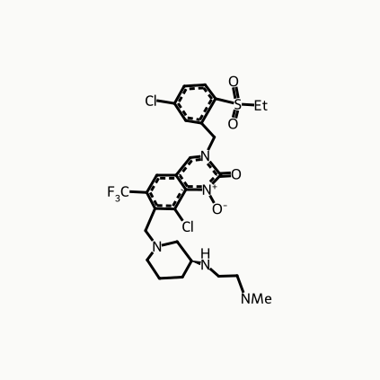 CCS(=O)(=O)c1ccc(Cl)cc1Cn1cc2cc(C(F)(F)F)c(CN3CCC[C@H](NCCNC)C3)c(Cl)c2[n+]([O-])c1=O